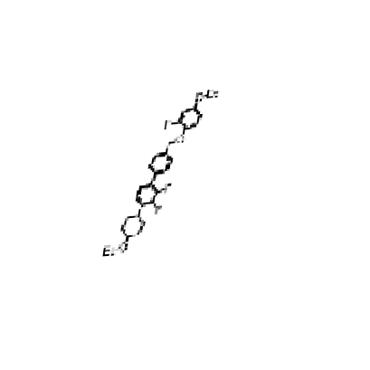 CCOc1ccc(OCc2ccc(-c3ccc(C4CCC(OCC)CC4)c(F)c3F)cc2)c(F)c1